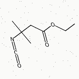 CCOC(=O)CC(C)(C)N=C=O